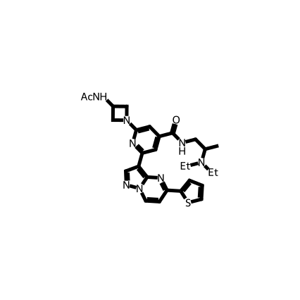 CCN(CC)C(C)CNC(=O)c1cc(-c2cnn3ccc(-c4cccs4)nc23)nc(N2CC(NC(C)=O)C2)c1